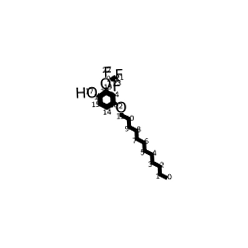 CCCCCCCCCCCCOc1ccc(O)c(OC(F)(F)F)c1